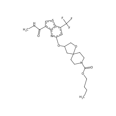 CCCCOC(=O)N1CCC2(CC1)CC(Oc1cc(C(F)(F)F)c3scc(C(=O)NC)c3n1)CO2